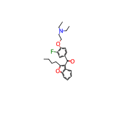 CCCCc1oc2ccccc2c1C(=O)c1ccc(OCCN(CC)CC)c(F)c1